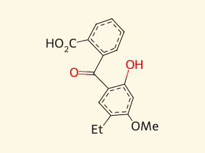 CCc1cc(C(=O)c2ccccc2C(=O)O)c(O)cc1OC